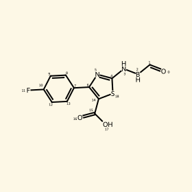 O=CBNc1nc(-c2ccc(F)cc2)c(C(=O)O)s1